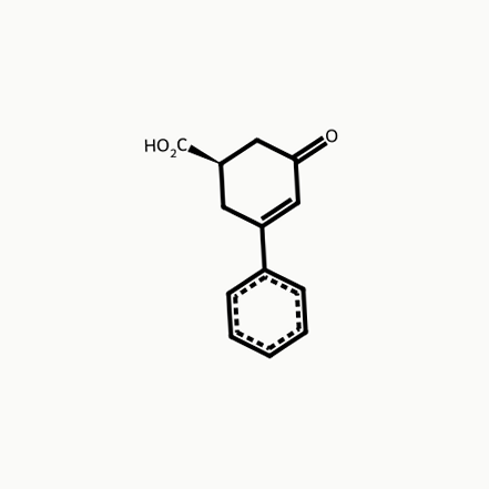 O=C1C=C(c2ccccc2)C[C@@H](C(=O)O)C1